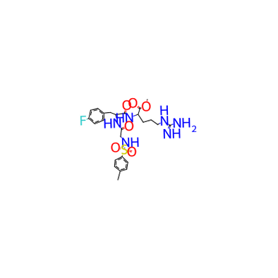 COC(=O)C(CCCNC(=N)N)NC(=O)C(Cc1ccc(F)cc1)NC(=O)CNS(=O)(=O)c1ccc(C)cc1